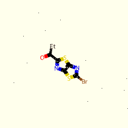 CCC(=O)c1nc2sc(Br)nc2s1